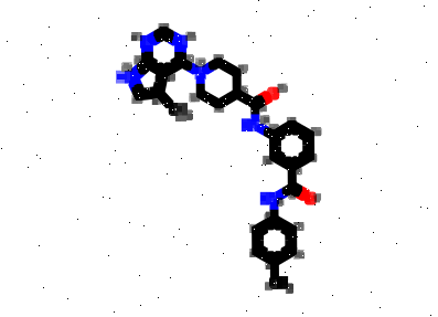 Cc1ccc(NC(=O)c2cccc(NC(=O)C3CCN(c4ncnc5[nH]cc(C)c45)CC3)c2)cc1